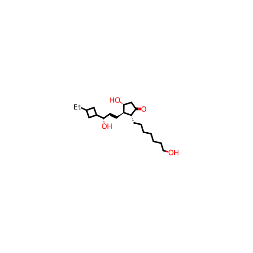 CCC1CC([C@@H](O)/C=C/[C@H]2[C@H](O)CC(=O)[C@@H]2CCCCCCCO)C1